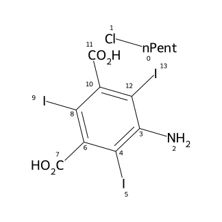 CCCCCCl.Nc1c(I)c(C(=O)O)c(I)c(C(=O)O)c1I